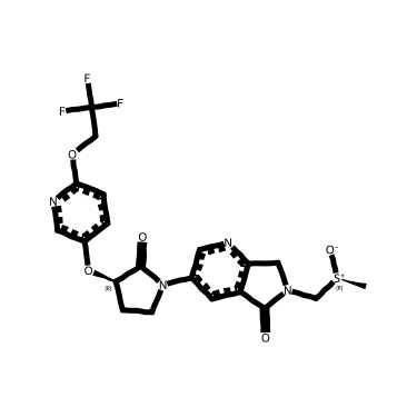 C[S@+]([O-])CN1Cc2ncc(N3CC[C@@H](Oc4ccc(OCC(F)(F)F)nc4)C3=O)cc2C1=O